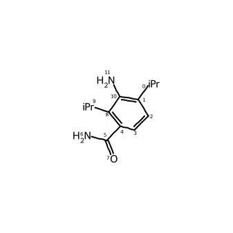 CC(C)c1ccc(C(N)=O)c(C(C)C)c1N